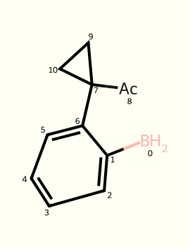 Bc1ccccc1C1(C(C)=O)CC1